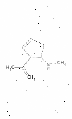 C=C(C)C1=C(NC)CC=C1